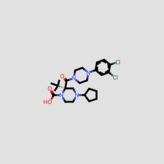 CC(C)(C)[C@]1(C(=O)N2CCN(c3ccc(Cl)c(Cl)c3)CC2)CN(C2CCCC2)CCN1C(=O)O